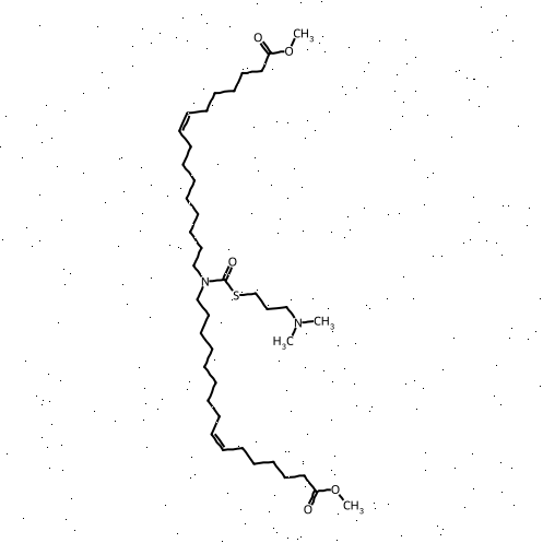 COC(=O)CCCCC/C=C\CCCCCCCCN(CCCCCCCC/C=C\CCCCCC(=O)OC)C(=O)SCCCN(C)C